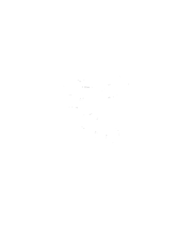 O=C(NC1CCCCNC1=O)c1cnc(N2CCc3ccccc32)nc1OCc1ccc2c(c1)CCO2